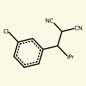 CC(C)C(c1cccc(Cl)c1)C(C#N)C#N